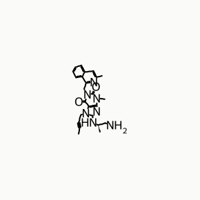 CC#CCn1c(N[C@H](C)CN)nc2c1c(=O)n(Cc1nc(C)cc3ccccc13)c(=O)n2C